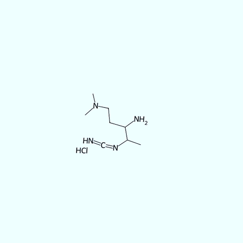 CC(N=C=N)C(N)CCN(C)C.Cl